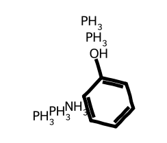 N.Oc1ccccc1.P.P.P.P